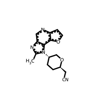 Cc1nc2cnc3ccoc3c2n1[C@H]1CC[C@H](CC#N)OC1